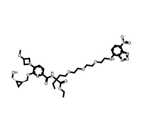 CCOC(=O)C(CC)(CCOCCOCCOCCNc1ccc([N+](=O)[O-])c2nonc12)NC(=O)c1ccc(N2CC(OC)C2)c(OC[C@H]2C[C@@H]2CO)n1